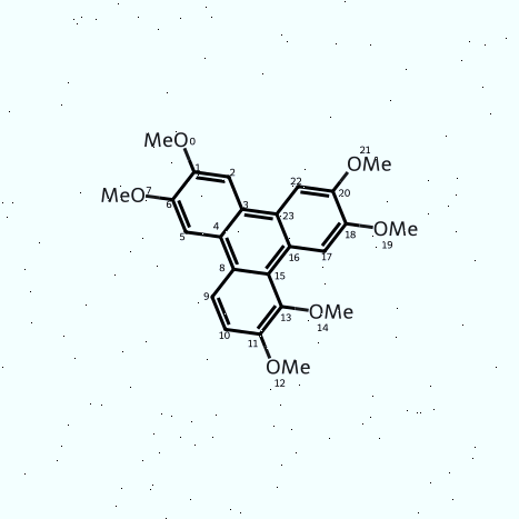 COc1cc2c(cc1OC)c1ccc(OC)c(OC)c1c1cc(OC)c(OC)cc21